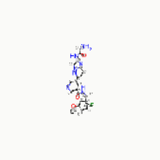 Cc1ncc(-c2ccc3nc(NC(=O)CN)cn3n2)cc1C(=O)N[C@H](C)c1cc(OC(F)(F)F)ccc1F